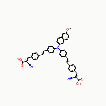 COc1ccc2cc(N(c3ccc(/C=C/c4ccc(/C=C(\C#N)C(=O)O)cc4)cc3)c3ccc(/C=C/c4ccc(/C=C(\C#N)C(=O)O)cc4)cc3)ccc2c1